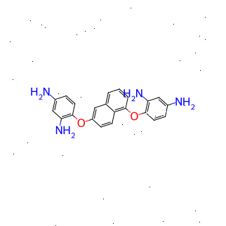 Nc1ccc(Oc2ccc3c(Oc4ccc(N)cc4N)cccc3c2)c(N)c1